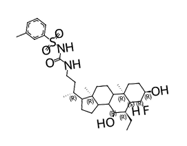 CC[C@@H]1[C@@H]2[C@@H](F)[C@H](O)CC[C@]2(C)C2CC[C@@]3(C)C(CCC3[C@H](C)CCNC(=O)NS(=O)(=O)c3cccc(C)c3)C2[C@@H]1O